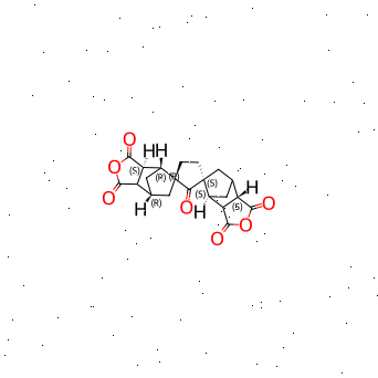 O=C1OC(=O)[C@@H]2C1[C@@H]1C[C@H]2[C@@]2(CC[C@@]3(CC4C[C@H]3C3C(=O)OC(=O)[C@@H]43)C2=O)C1